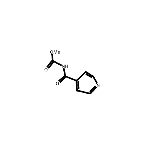 COC(=O)NC(=O)c1ccncc1